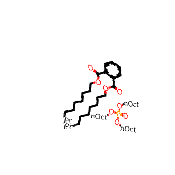 CC(C)CCCCCCCOC(=O)c1ccccc1C(=O)OCCCCCCCC(C)C.CCCCCCCCOP(=O)(OCCCCCCCC)OCCCCCCCC